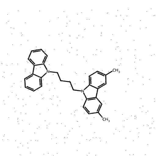 Cc1ccc2c(c1)c1cc(C)ccc1n2CCCCn1c2ccccc2c2ccccc21